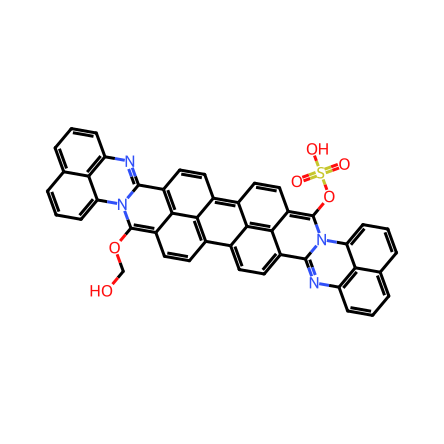 O=S(=O)(O)OC1=c2ccc3c4ccc5c6c(ccc(c7ccc(c2c73)C2=Nc3cccc7cccc(c37)N21)c64)=C(OCO)N1C5=Nc2cccc3cccc1c23